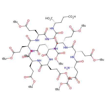 CC(C)(C)OC(=O)CC[C@H](NC(=O)[C@H](CCC(=O)OC(C)(C)C)NC(=O)[C@H](CCC(=O)OC(C)(C)C)NC(=O)[C@H](CCC(=O)OC(C)(C)C)NC(=O)[C@H](CCC(=O)OC(C)(C)C)NC(=O)[C@H](CCC(=O)OC(C)(C)C)NC(=O)[C@H](CCC(=O)OC(C)(C)C)NC(=O)[C@H](CCC(=O)OC(C)(C)C)NC(=O)[C@@H](N)CC(=O)OC(=O)OC(C)(C)C)C(=O)N[C@@H](CCC(=O)O)C(=O)O